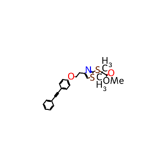 COC(=O)C(C)(C)Sc1nc(CCOc2ccc(C#Cc3ccccc3)cc2)cs1